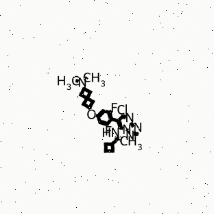 C[C@@H](Nc1c(-c2c(F)cc(OC3CC4(C3)CC(N(C)C)C4)cc2F)c(Cl)nc2ncnn12)C1CCC1